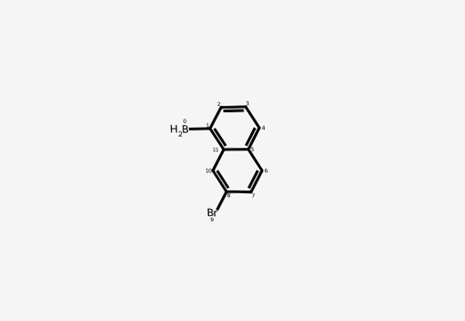 Bc1cccc2ccc(Br)cc12